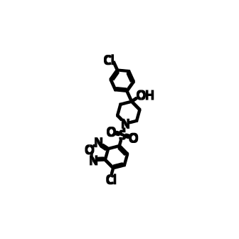 O=S(=O)(c1ccc(Cl)c2nonc12)N1CCC(O)(c2ccc(Cl)cc2)CC1